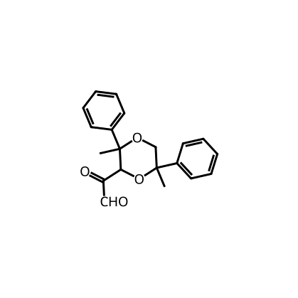 CC1(c2ccccc2)COC(C)(c2ccccc2)C(C(=O)C=O)O1